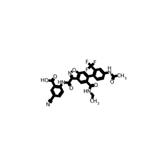 CCNC(=O)c1cc2c(C(=O)Nc3ccc(C#N)cc3C(=O)O)noc2cc1-c1ccc(NC(C)=O)cc1C(F)(F)F